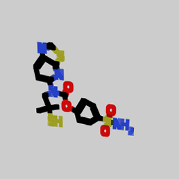 CC(C)(S)CN(C(=O)Oc1ccc(S(N)(=O)=O)cc1)c1ccc2ncsc2n1